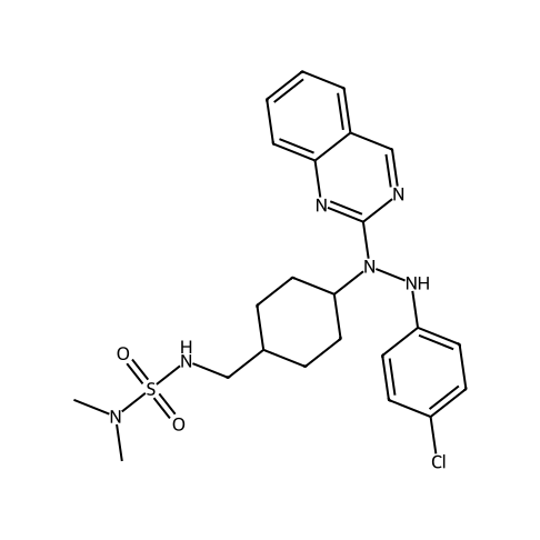 CN(C)S(=O)(=O)NCC1CCC(N(Nc2ccc(Cl)cc2)c2ncc3ccccc3n2)CC1